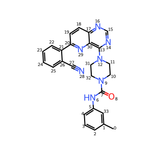 Cc1cccc(NC(=O)N2CCN(c3ncnc4ccc(-c5ccccc5C#N)nc34)CC2)c1